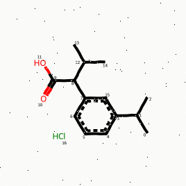 CC(C)c1cccc(C(C(=O)O)C(C)C)c1.Cl